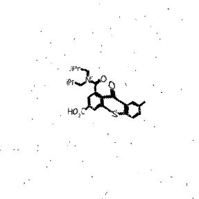 Cc1ccc2sc3cc(C(=O)O)cc(C(=O)N(CC(C)C)CC(C)C)c3c(=O)c2c1